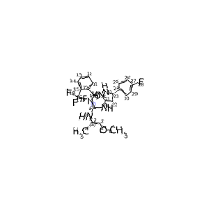 COC[C@H](C)N/C(=N/C(=O)c1ccccc1C(F)(F)F)NC1CC(c2ccc(F)cc2)NN1